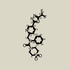 O=C(N1CCS(=O)(=O)CC1)N(Cc1ccc(-c2nnc(C(F)F)o2)cn1)c1ccccc1